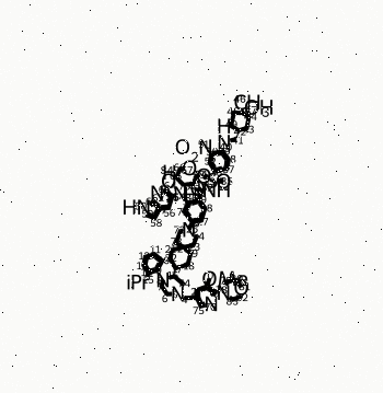 COc1cc(CN2CCN(c3ccccc3C(C)C)[C@H](C3CCC4(CC3)CCN(c3ccc(C(=O)NS(=O)(=O)c5ccc(NC[C@H]6CC[C@](C)(O)CC6)c([N+](=O)[O-])c5)c(N5c6cc7cc[nH]c7nc6O[C@H]6COCC[C@@H]65)c3)CC4)C2)cnc1N1CCOCC1